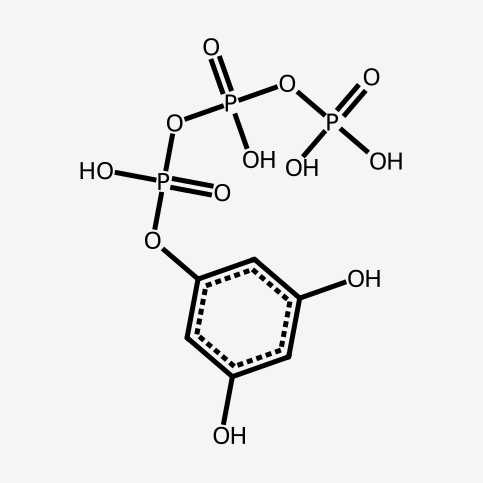 O=P(O)(O)OP(=O)(O)OP(=O)(O)Oc1cc(O)cc(O)c1